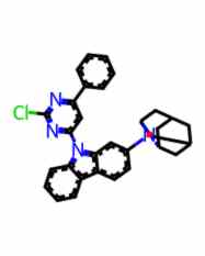 Clc1nc(-c2ccccc2)cc(-n2c3ccccc3c3ccc(N4C5CC6CC(C5)CC4C6)cc32)n1